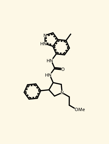 COCCN1CC(NC(=O)Nc2ccc(C)c3cn[nH]c23)C(c2ccccc2)C1